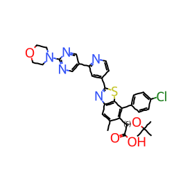 Cc1cc2nc(-c3ccnc(-c4cnc(N5CCOCC5)nc4)c3)sc2c(-c2ccc(Cl)cc2)c1[C@H](OC(C)(C)C)C(=O)O